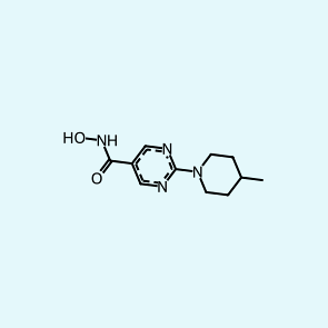 CC1CCN(c2ncc(C(=O)NO)cn2)CC1